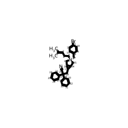 CC(C)=CCC[N+]1(Cc2ccc(Br)cc2)CC2C(CC(C#N)(c3ccccc3)c3ccccc3)C2C1